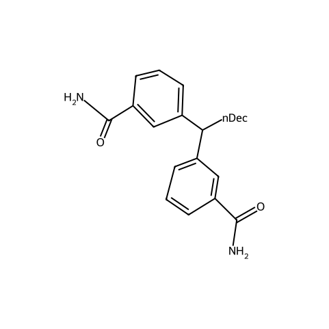 CCCCCCCCCCC(c1cccc(C(N)=O)c1)c1cccc(C(N)=O)c1